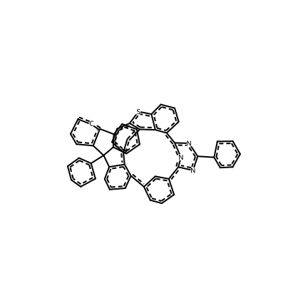 c1ccc(-c2nc3nc(n2)c2cccc4sc5ccc(cc5c42)c2c(C4(c5ccccc5)c5ccccc5-c5ccccc54)cccc2c2cccc3c2)cc1